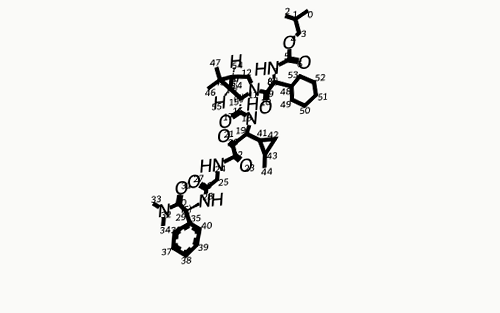 CC(C)COC(=O)N[C@H](C(=O)N1C[C@H]2[C@@H]([C@H]1C(=O)NC(C(=O)C(=O)NCC(=O)N[C@H](C(=O)N(C)C)c1ccccc1)C1CC1C)C2(C)C)C1CCCCC1